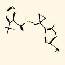 O=C(O)c1cnc(C2(CNC(=O)c3ncccc3C(F)(F)F)CC2)c(Cl)c1